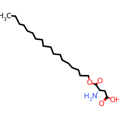 CCCCCCCCCCCCCCCCCCOC(=O)[C@@H](N)CC(=O)O